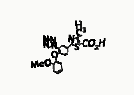 COc1ccccc1Oc1ccc(-c2nc(C)c(C(=O)O)s2)cc1-n1cnnn1